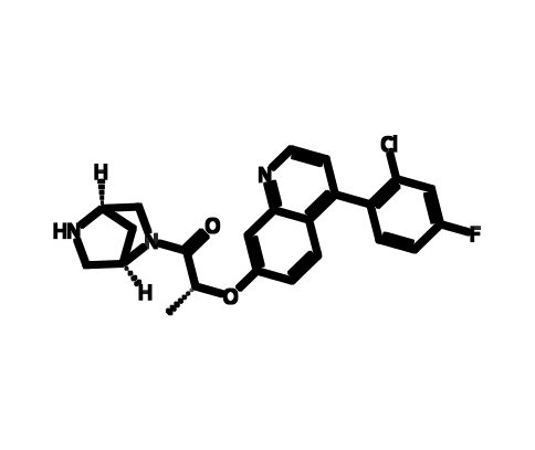 C[C@@H](Oc1ccc2c(-c3ccc(F)cc3Cl)ccnc2c1)C(=O)N1C[C@H]2C[C@@H]1CN2